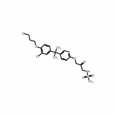 CC(C)(c1ccc(OCC(=O)CNS(C)(=O)=O)nc1)c1ccc(OCCCCl)c(Cl)c1